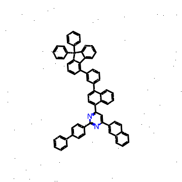 c1ccc(-c2ccc(-c3nc(-c4ccc5ccccc5c4)cc(-c4ccc(-c5cccc(-c6cccc7c6-c6ccccc6C7(c6ccccc6)c6ccccc6)c5)c5ccccc45)n3)cc2)cc1